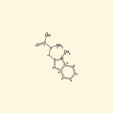 Cn1c(CC(N)C(=O)O)cc2ccccc21